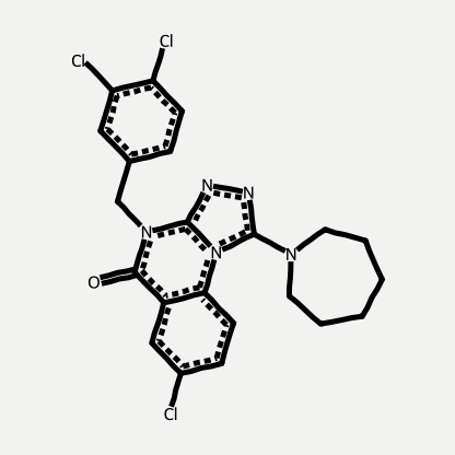 O=c1c2cc(Cl)ccc2n2c(N3CCCCCC3)nnc2n1Cc1ccc(Cl)c(Cl)c1